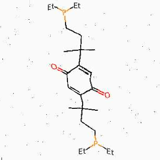 CCP(CC)CCC(C)(C)C1=CC(=O)C(C(C)(C)CCP(CC)CC)=CC1=O